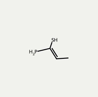 CC=C(P)S